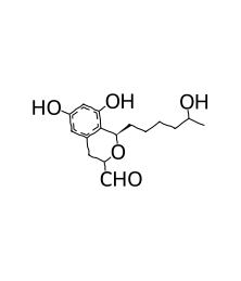 CC(O)CCCC[C@H]1OC(C=O)Cc2cc(O)cc(O)c21